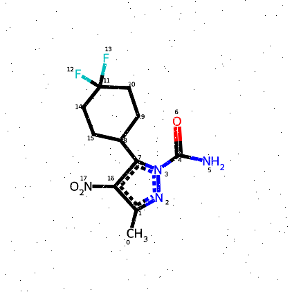 Cc1nn(C(N)=O)c(C2CCC(F)(F)CC2)c1[N+](=O)[O-]